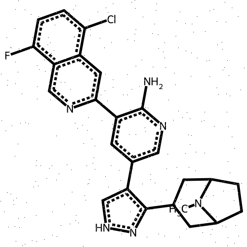 CN1C2CCC1CC(c1n[nH]cc1-c1cnc(N)c(-c3cc4c(Cl)ccc(F)c4cn3)c1)C2